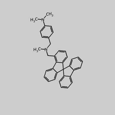 CN(Cc1ccc(N(C)C)cc1)Cc1cccc2c1-c1ccccc1C21c2ccccc2-c2ccccc21